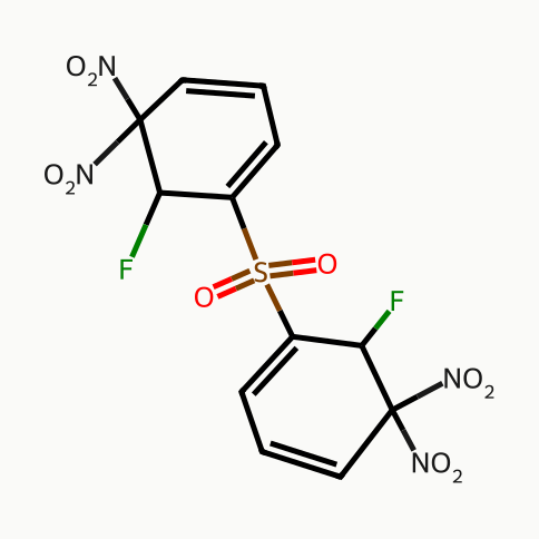 O=[N+]([O-])C1([N+](=O)[O-])C=CC=C(S(=O)(=O)C2=CC=CC([N+](=O)[O-])([N+](=O)[O-])C2F)C1F